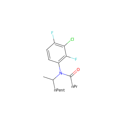 CCCCCC(C)N(C(=O)CCC)c1ccc(F)c(Cl)c1F